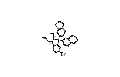 C=C/C=C1\C(=C/C)C(c2ccc3ccccc3c2)(c2ccc3ccccc3c2)c2cc(Br)ccc21